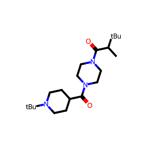 CC(C(=O)N1CCN(C(=O)C2CCN(C(C)(C)C)CC2)CC1)C(C)(C)C